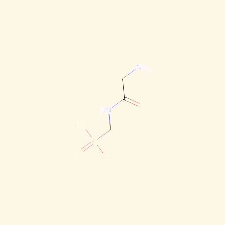 NCC(=O)NCP(=O)(O)O